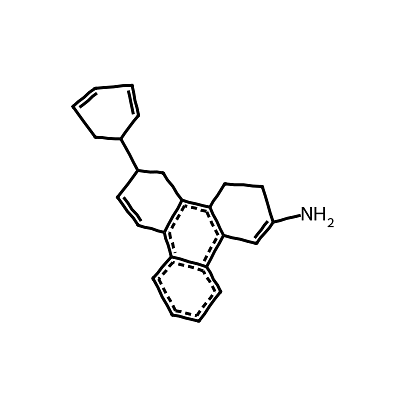 NC1=Cc2c(c3c(c4ccccc24)C=CC(C2C=CC=CC2)C3)CC1